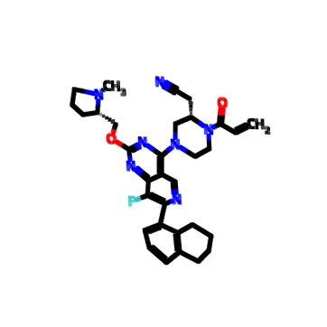 C=CC(=O)N1CCN(c2nc(OC[C@@H]3CCCN3C)nc3c(F)c(-c4cccc5c4CCCC5)ncc23)C[C@@H]1CC#N